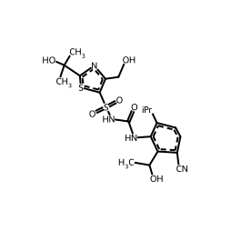 CC(C)c1ccc(C#N)c(C(C)O)c1NC(=O)NS(=O)(=O)c1sc(C(C)(C)O)nc1CO